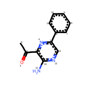 CC(=O)c1nc(-c2ccccc2)cnc1N